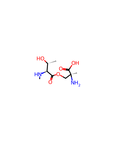 CN[C@H](C(=O)OC[C@](C)(N)C(=O)O)[C@@H](C)O